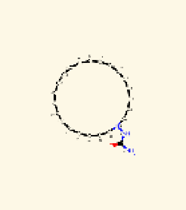 NC(=O)NN1CCCCCCCCCCCCCCCCCCCCCC1